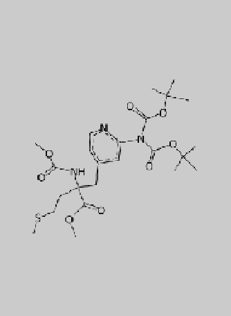 COC(=O)NC(CCSC)(Cc1ccnc(N(C(=O)OC(C)(C)C)C(=O)OC(C)(C)C)c1)C(=O)OC